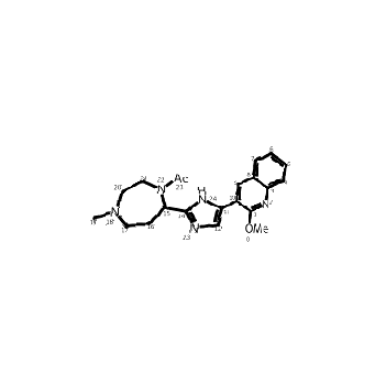 COc1nc2ccccc2cc1-c1cnc(C2CCN(C)CCN2C(C)=O)[nH]1